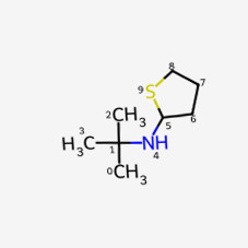 CC(C)(C)NC1CCCS1